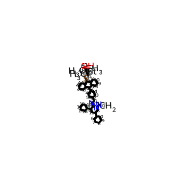 C=Nn1cc(C2=CCCC=C2)cc(-c2ccccc2)/c1=N/Cc1ccc(-c2c3ccccc3c(SCC(C)(CC)C(C)(C)O)c3ccccc23)cc1